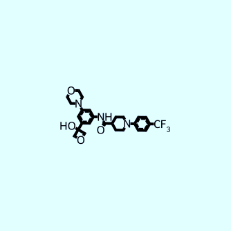 O=C(Nc1cc(N2CCOCC2)cc(C2(O)COC2)c1)C1CCN(c2ccc(C(F)(F)F)cc2)CC1